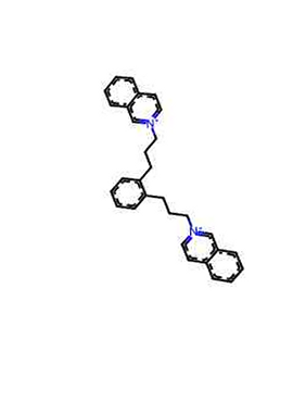 c1ccc(CCC[n+]2ccc3ccccc3c2)c(CCC[n+]2ccc3ccccc3c2)c1